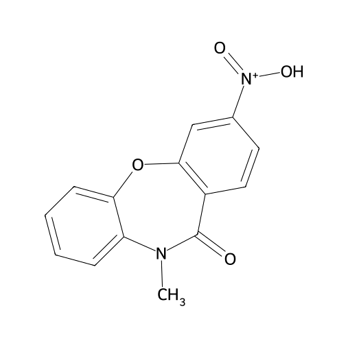 CN1C(=O)c2ccc([N+](=O)O)cc2Oc2ccccc21